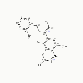 CCN(C)/C=N\c1cc(C)c(/C(CSc2ccccc2Br)=N/C)cc1Cl